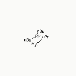 CCCC.CCCCPCCCC